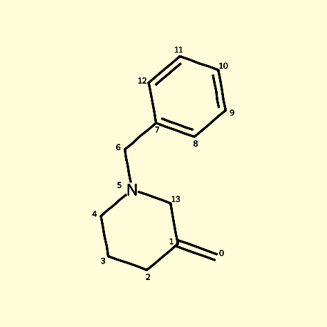 C=C1CCCN(Cc2ccccc2)C1